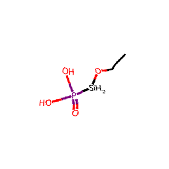 CCO[SiH2]P(=O)(O)O